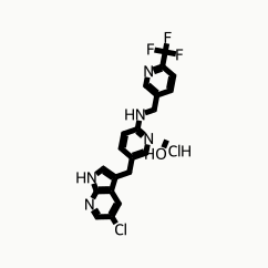 CO.Cl.FC(F)(F)c1ccc(CNc2ccc(Cc3c[nH]c4ncc(Cl)cc34)cn2)cn1